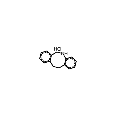 Cl.c1ccc2c(c1)CCc1ccccc1NC2